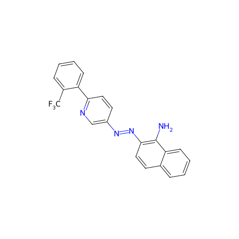 Nc1c(N=Nc2ccc(-c3ccccc3C(F)(F)F)nc2)ccc2ccccc12